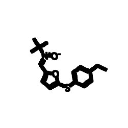 CCc1ccc(Sc2ccc(C=[N+]([O-])C(C)(C)C)o2)cc1